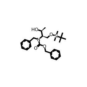 C[C@H](O)[C@@H](CO[Si](C)(C)C(C)(C)C)N(Cc1ccccc1)C(=O)OCc1ccccc1